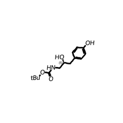 CC(C)(C)OC(=O)NC[C@@H](O)Cc1ccc(O)cc1